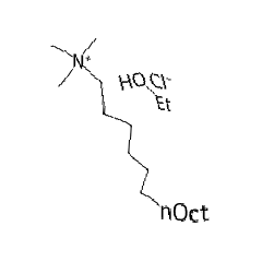 CCCCCCCCCCCCCC[N+](C)(C)C.CCO.[Cl-]